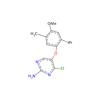 COc1cc(C(C)C)c(Oc2cnc(N)nc2Cl)cc1C